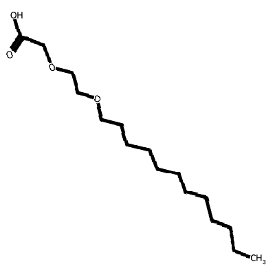 CCCCCCCCCCCCOCCOCC(=O)O